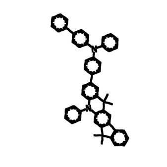 CC1(C)c2ccccc2-c2cc3c(cc21)N(c1ccccc1)c1ccc(-c2ccc(N(c4ccccc4)c4ccc(-c5ccccc5)cc4)cc2)cc1C3(C)C